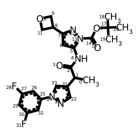 CC(C(=O)Nc1cc(C2COC2)nn1C(=O)OC(C)(C)C)c1cnn(-c2cc(F)cc(F)c2)c1